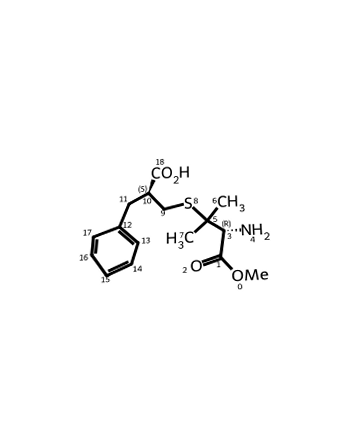 COC(=O)[C@@H](N)C(C)(C)SC[C@@H](Cc1ccccc1)C(=O)O